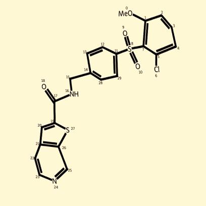 COc1cccc(Cl)c1S(=O)(=O)c1ccc(CNC(=O)c2cc3ccncc3s2)cc1